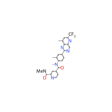 CNC(=O)c1cc(C(=O)N(C)c2ccc(-c3ncc4nc(C(F)(F)F)cc(C)c4n3)cc2C)ccn1